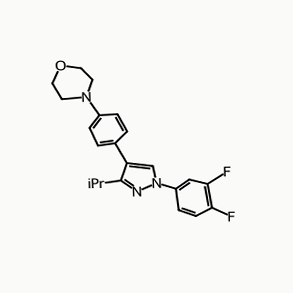 CC(C)c1nn(-c2ccc(F)c(F)c2)cc1-c1ccc(N2CCOCC2)cc1